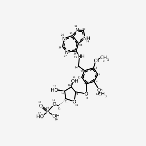 COc1cc(OC)c(OC2O[C@H](COP(=O)(O)O)[C@@H](O)[C@H]2O)cc1CNc1ncnc2nc[nH]c12